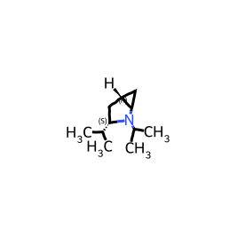 CC(C)[C@@H]1C[C@@H]2CC2N1C(C)C